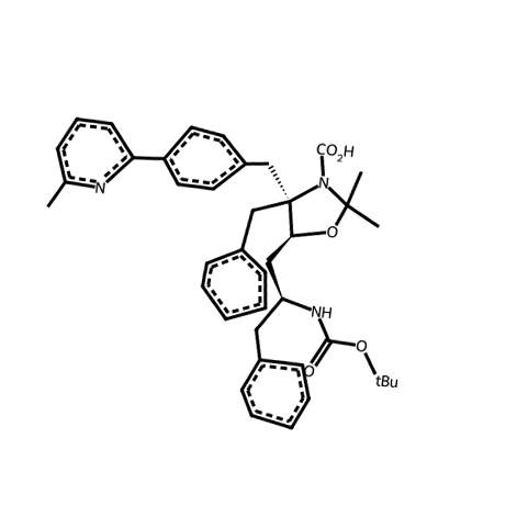 Cc1cccc(-c2ccc(C[C@@]3(Cc4ccccc4)[C@H](C[C@H](Cc4ccccc4)NC(=O)OC(C)(C)C)OC(C)(C)N3C(=O)O)cc2)n1